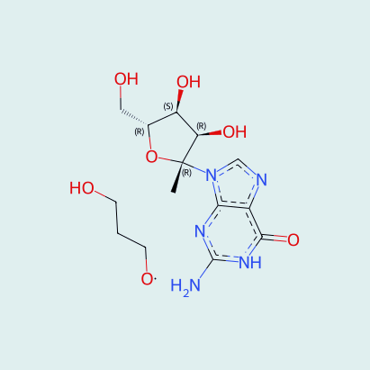 C[C@@]1(n2cnc3c(=O)[nH]c(N)nc32)O[C@H](CO)[C@@H](O)[C@H]1O.[O]CCCO